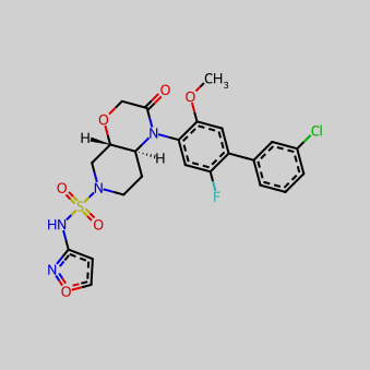 COc1cc(-c2cccc(Cl)c2)c(F)cc1N1C(=O)CO[C@H]2CN(S(=O)(=O)Nc3ccon3)CC[C@@H]21